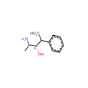 CC(N)[C@@H](O)C(C(=O)O)c1ccccc1